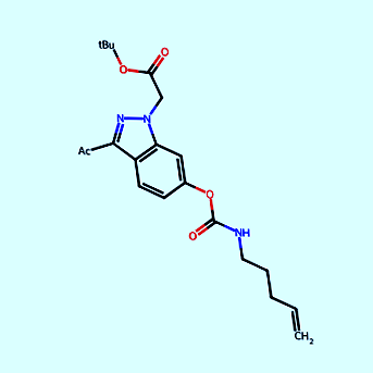 C=CCCCNC(=O)Oc1ccc2c(C(C)=O)nn(CC(=O)OC(C)(C)C)c2c1